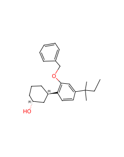 CCC(C)(C)c1ccc([C@@H]2CCC[C@@H](O)C2)c(OCc2ccccc2)c1